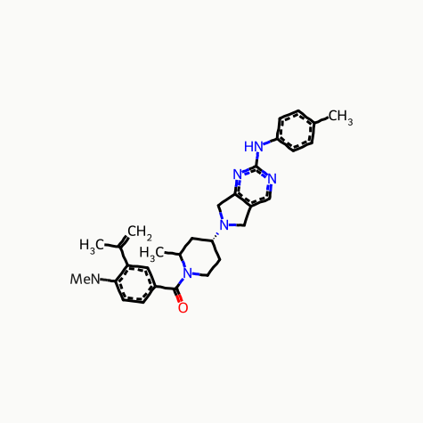 C=C(C)c1cc(C(=O)N2CC[C@@H](N3Cc4cnc(Nc5ccc(C)cc5)nc4C3)CC2C)ccc1NC